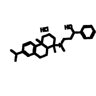 CC(C)c1ccc2c(c1)CCC1C2(C)CCCC1(C)N(C)CCC(O)c1ccccc1.Cl